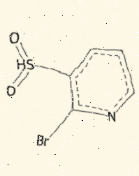 O=[SH](=O)c1cccnc1Br